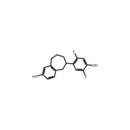 Oc1ccc2c(c1)CCCC(c1cc(F)c(O)cc1F)C2